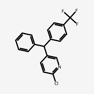 FC(F)(F)c1ccc(C(c2ccccc2)c2ccc(Cl)nc2)cc1